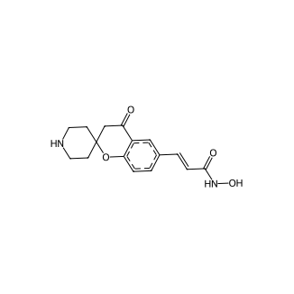 O=C(/C=C/c1ccc2c(c1)C(=O)CC1(CCNCC1)O2)NO